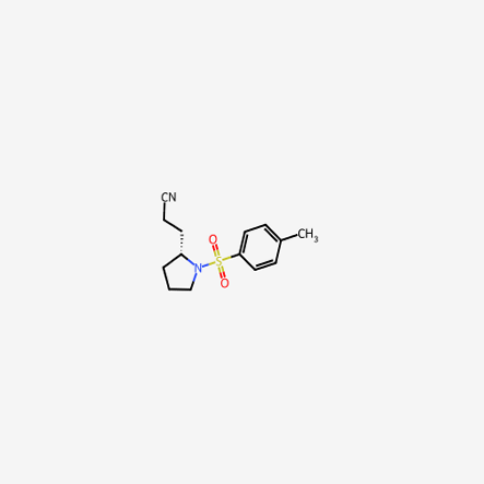 Cc1ccc(S(=O)(=O)N2CCC[C@@H]2CCC#N)cc1